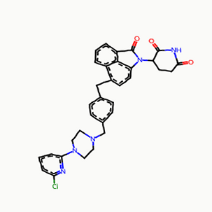 O=C1CCC(N2C(=O)c3cccc4c(Cc5ccc(CN6CCN(c7cccc(Cl)n7)CC6)cc5)ccc2c34)C(=O)N1